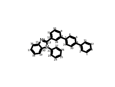 c1ccc(-c2ccc(-c3cccc(-c4nc5ccccc5n4-c4ccccc4)c3)cc2)cc1